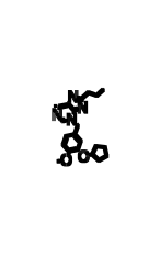 CCCc1nc2[c]ncn(Cc3ccc(OC)c(OC4CCCC4)c3)c-2n1